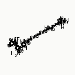 CC1(C)CC(=O)c2c(C(F)(F)F)nn(-c3ccc(C(N)=O)c(N[C@H]4CC[C@H](NC(=O)CCOCCOCCOCCOCCNC(=O)CCCCC5SC[C@@H]6NC(=O)N[C@H]56)CC4)c3)c2C1